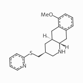 COc1cccc2c1C[C@@H]1C[C@H](CSc3ccccn3)CN[C@H]1C2